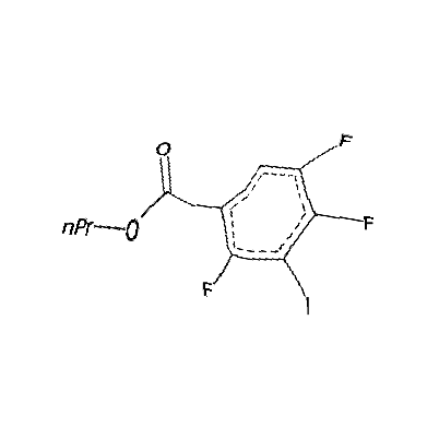 CCCOC(=O)c1cc(F)c(F)c(I)c1F